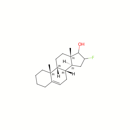 C[C@]12CCCCC1=CC[C@@H]1[C@H]2CC[C@]2(C)C(O)C(F)C[C@@H]12